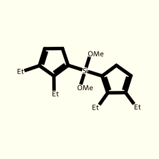 CCC1=CCC([Si](OC)(OC)C2=C(CC)C(CC)=CC2)=C1CC